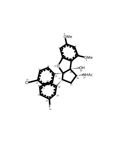 COc1cc(OC)c2c(c1)O[C@]1(c3ccc(Cl)cc3)[C@@H](c3cccc(F)c3)C[C@@H](NC(C)=O)[C@]21O